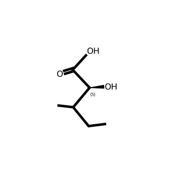 CCC(C)[C@H](O)C(=O)O